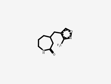 O=C1CC(Cc2conc2C(F)(F)F)CCCN1